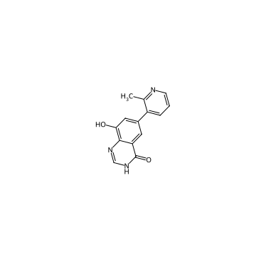 Cc1ncccc1-c1cc(O)c2nc[nH]c(=O)c2c1